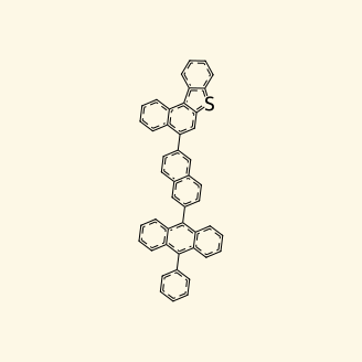 c1ccc(-c2c3ccccc3c(-c3ccc4cc(-c5cc6sc7ccccc7c6c6ccccc56)ccc4c3)c3ccccc23)cc1